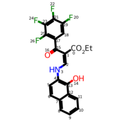 CCOC(=O)C(=CNc1ccc2ccccc2c1O)C(=O)c1cc(F)c(F)c(F)c1F